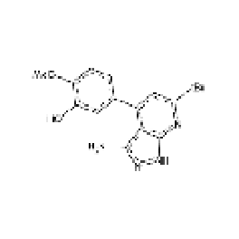 COc1ccc(-c2cc(C(C)(C)C)nc3[nH]nc(N)c23)cc1O